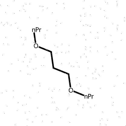 CCCOCCCOCCC